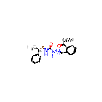 COC(=O)c1ccccc1/C=N/NC(=O)NS[C@H](C)c1ccccc1